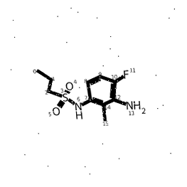 CCCS(=O)(=O)Nc1ccc(F)c(N)c1C